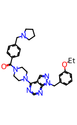 CCOc1cccc(Cn2ncc3c(N4CCN(C(=O)c5ccc(CN6CCCC6)cc5)CC4)ncnc32)c1